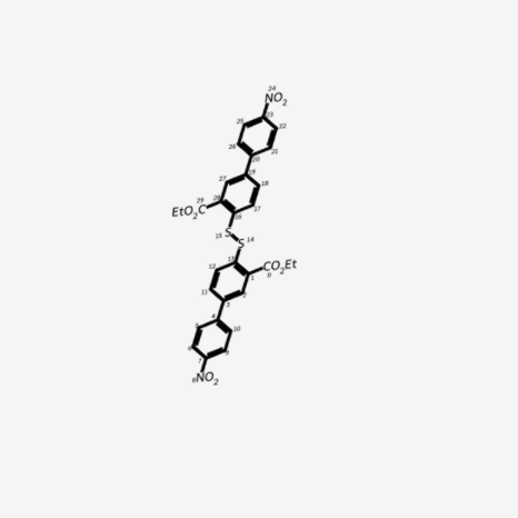 CCOC(=O)c1cc(-c2ccc([N+](=O)[O-])cc2)ccc1SSc1ccc(-c2ccc([N+](=O)[O-])cc2)cc1C(=O)OCC